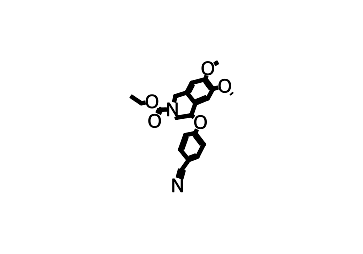 CCOC(=O)N1Cc2cc(OC)c(OC)cc2C(Oc2ccc(C#N)cc2)C1